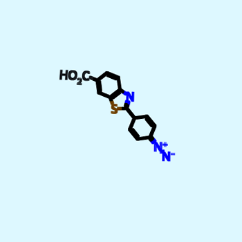 [N-]=[N+]=C1C=CC(c2nc3ccc(C(=O)O)cc3s2)C=C1